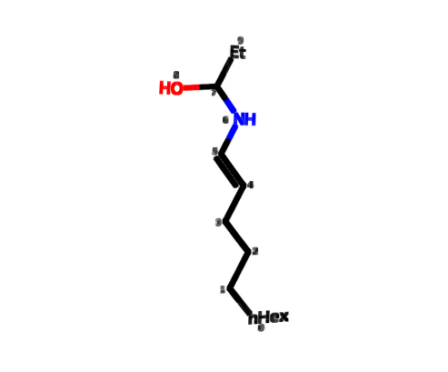 CCCCCCCCCC=CNC(O)CC